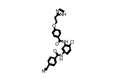 N#Cc1ccc(C(=O)Nc2ccc(Cl)c(NC(=O)c3ccc(OCCc4ncc[nH]4)cc3)c2)cc1